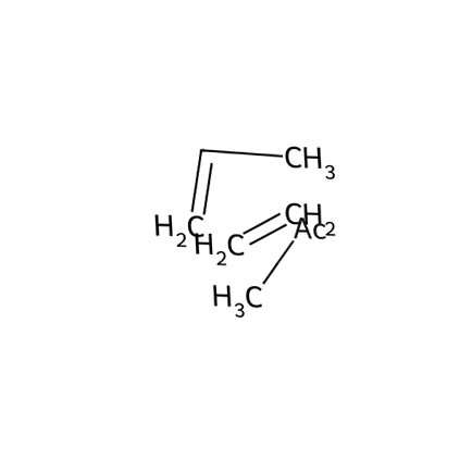 C=C.C=CC.CC(C)=O